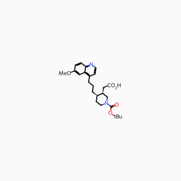 COc1ccc2nccc(CCC[C@@H]3CCN(C(=O)OC(C)(C)C)C[C@@H]3CC(=O)O)c2c1